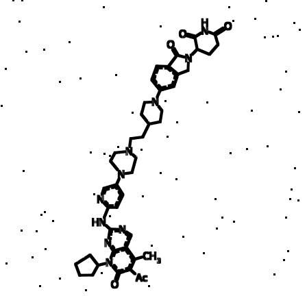 CC(=O)c1c(C)c2cnc(Nc3ccc(N4CCN(CCC5CCN(c6ccc7c(c6)CN(C6CCC(=O)NC6=O)C7=O)CC5)CC4)cn3)nc2n(C2CCCC2)c1=O